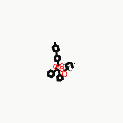 Cc1ccc(-c2ccc(C(=O)OC(c3ccccc3)C(OC(=O)c3cc[c]cc3)c3ccccc3)cc2)cc1